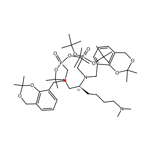 CN(C)CCCC[C@@H](CN(Cc1cccc2c1OC(C)(C)OC2)CP(=O)(OC(C)(C)C)OC(C)(C)C)N(Cc1cccc2c1OC(C)(C)OC2)CP(=O)(OC(C)(C)C)OC(C)(C)C